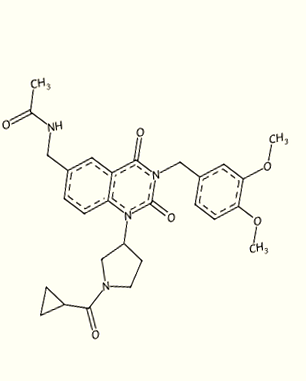 COc1ccc(Cn2c(=O)c3cc(CNC(C)=O)ccc3n(C3CCN(C(=O)C4CC4)C3)c2=O)cc1OC